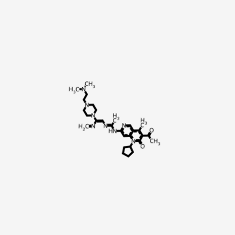 C=N/C(=C\N=C(/C)Nc1cc2c(cn1)c(C)c(C(C)=O)c(=O)n2C1CCCC1)N1CCN(CCN(C)C)CC1